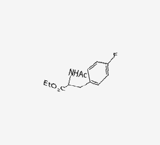 CCOC(=O)C(Cc1ccc(F)cc1)NC(C)=O